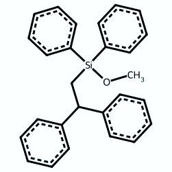 CO[Si](CC(c1ccccc1)c1ccccc1)(c1ccccc1)c1ccccc1